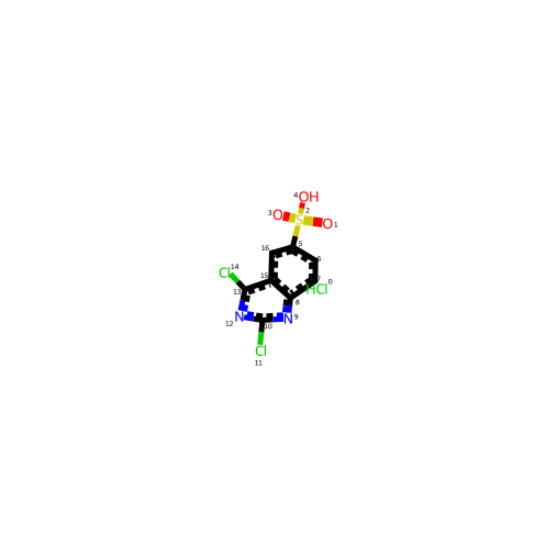 Cl.O=S(=O)(O)c1ccc2nc(Cl)nc(Cl)c2c1